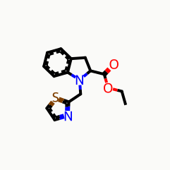 CCOC(=O)C1Cc2ccccc2N1Cc1nccs1